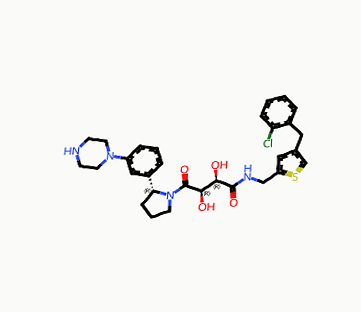 O=C(NCc1cc(Cc2ccccc2Cl)cs1)[C@H](O)[C@@H](O)C(=O)N1CCC[C@@H]1c1cccc(N2CCNCC2)c1